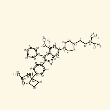 COc1nc(N2CCN(CCN(C)C)CC2)nc2oc(-c3ccc(C4(NC(=O)O)CCC4)cc3)c(-c3ccccc3)c12